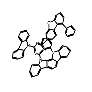 c1ccc(-c2cccc3oc4cc(-c5nc(-n6c7ccccc7c7ccccc76)nc(-n6c7ccccc7c7ccc8c9ccccc9n(-c9ccccc9)c8c76)n5)ccc4c23)cc1